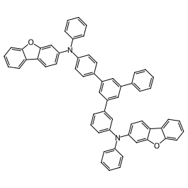 c1ccc(-c2cc(-c3ccc(N(c4ccccc4)c4ccc5c(c4)oc4ccccc45)cc3)cc(-c3cccc(N(c4ccccc4)c4ccc5c(c4)oc4ccccc45)c3)c2)cc1